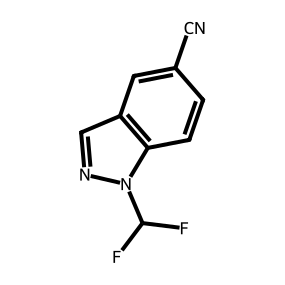 N#Cc1ccc2c(cnn2C(F)F)c1